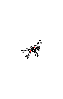 CCN(CC)CCOCCN(CCOCCN(CC)CC)C(=O)C1(C(=O)N(CCOCCN(CC)CC)CCOCCN(CC)CC)C(Sc2cc(C)cc(C)c2)=CC(C)=CC1C